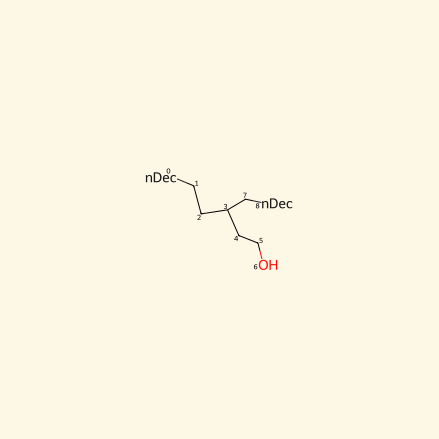 CCCCCCCCCCCCC(CCO)CCCCCCCCCCC